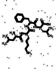 CC(C)C[C@H](NC(=O)[C@H](Cc1ccccc1)NC(=O)[C@H](CCCCN)NC(=O)[C@@H](N)CC(C)C)C(=O)O